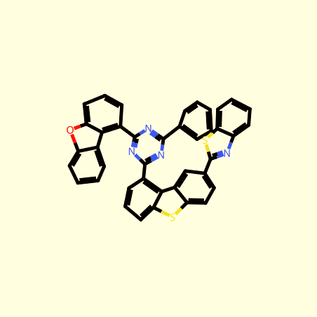 c1ccc(-c2nc(-c3cccc4oc5ccccc5c34)nc(-c3cccc4sc5ccc(-c6nc7ccccc7s6)cc5c34)n2)cc1